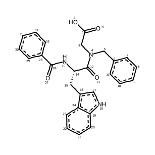 O=C(O)CN(Cc1ccccc1)C(=O)[C@H](Cc1c[nH]c2ccccc12)NC(=O)c1ccccc1